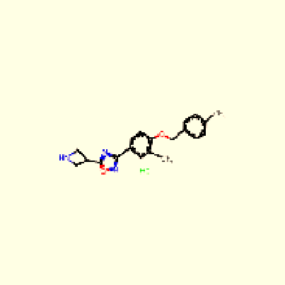 Cl.FC(F)(F)c1ccc(COc2ccc(-c3noc(C4CNC4)n3)cc2C(F)(F)F)cc1